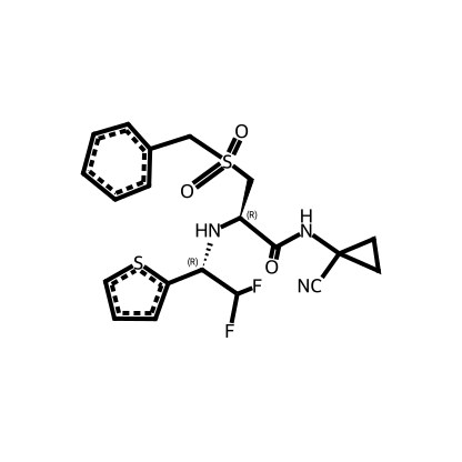 N#CC1(NC(=O)[C@H](CS(=O)(=O)Cc2ccccc2)N[C@@H](c2cccs2)C(F)F)CC1